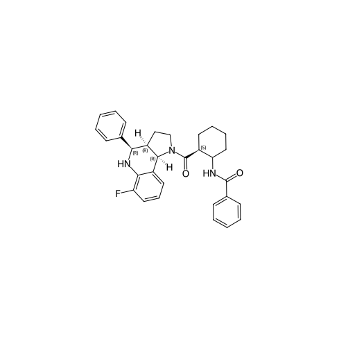 O=C(NC1CCCC[C@@H]1C(=O)N1CC[C@@H]2[C@H](c3ccccc3)Nc3c(F)cccc3[C@@H]21)c1ccccc1